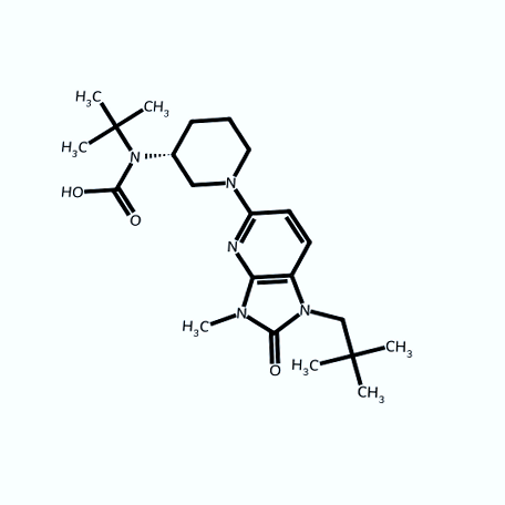 Cn1c(=O)n(CC(C)(C)C)c2ccc(N3CCC[C@@H](N(C(=O)O)C(C)(C)C)C3)nc21